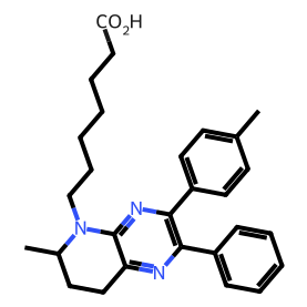 Cc1ccc(-c2nc3c(nc2-c2ccccc2)CCC(C)N3CCCCCCC(=O)O)cc1